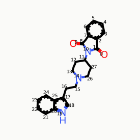 O=C1c2ccccc2C(=O)N1C1CCN(CCc2c[nH]c3ccccc23)CC1